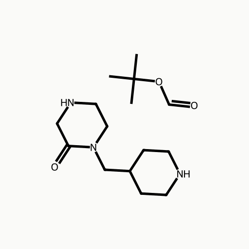 CC(C)(C)OC=O.O=C1CNCCN1CC1CCNCC1